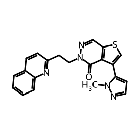 Cn1nccc1-c1csc2cnn(CCc3ccc4ccccc4n3)c(=O)c12